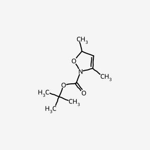 CC1=CC(C)ON1C(=O)OC(C)(C)C